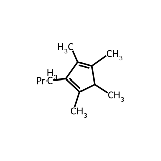 CC1=C(C)C(C)C(C)=C1C.[Pr]